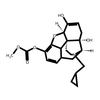 COC(=O)OC1=C2O[C@H]3C(O)=CC[C@@]4(O)[C@H]5CC(C=C1)C2[C@@]34CCN5CC1CC1